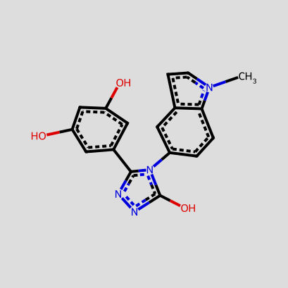 Cn1ccc2cc(-n3c(O)nnc3-c3cc(O)cc(O)c3)ccc21